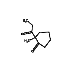 CCC(=O)C1(C)CCCCC1=O